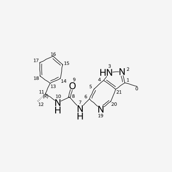 Cc1n[nH]c2cc(NC(=O)N[C@H](C)c3ccccc3)ncc12